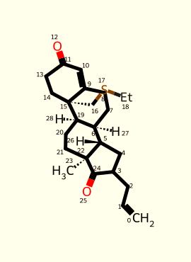 C=CCC1C[C@H]2[C@@H]3CCC4=CC(=O)CC[C@]4(CSCC)[C@@H]3CC[C@]2(C)C1=O